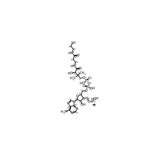 CC(C)(COP(=O)(O)OP(=O)(O)OCC1OC(n2cnc3c(N)ncnc32)C(O)C1OO[PH](=O)O)C(O)C(=O)NCCC(=O)NCCS